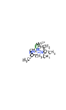 CCc1cc(CC)c(NCCN(C)CCNc2c(CC)cc(CC)cc2CC)c(CC)c1.[Cl-].[Cl-].[Mn+2]